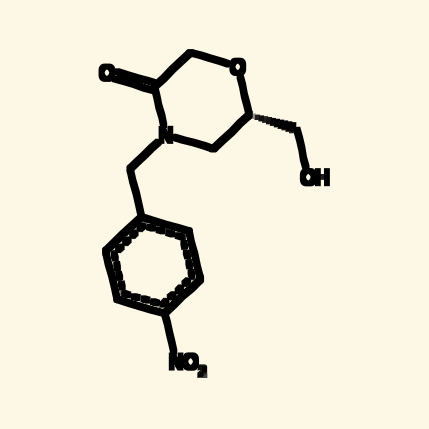 O=C1CO[C@H](CO)CN1Cc1ccc([N+](=O)[O-])cc1